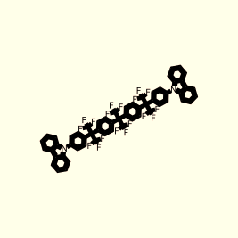 FC(F)(F)C(c1ccc(-n2c3ccccc3c3ccccc32)cc1)(c1ccc(C(c2ccc(C(c3ccc(-n4c5ccccc5c5ccccc54)cc3)(C(F)(F)F)C(F)(F)F)cc2)(C(F)(F)F)C(F)(F)F)cc1)C(F)(F)F